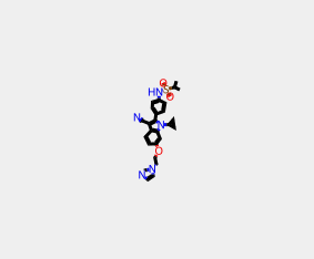 CC(C)S(=O)(=O)Nc1ccc(-c2c(C#N)c3ccc(OCCn4ccnc4)cc3n2C2CC2)cc1